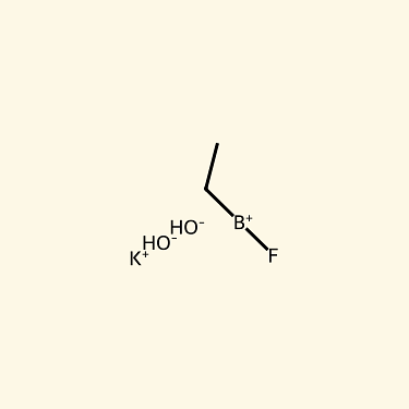 CC[B+]F.[K+].[OH-].[OH-]